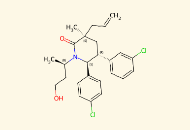 C=CC[C@@]1(C)C[C@H](c2cccc(Cl)c2)[C@@H](c2ccc(Cl)cc2)N([C@H](C)CCO)C1=O